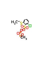 CCSc1cccc(Cl)c1S(=O)(=O)OO[PH](=O)OC